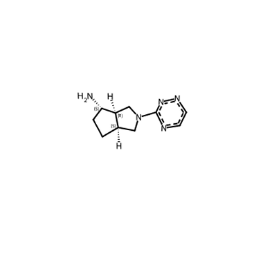 N[C@H]1CC[C@@H]2CN(c3nccnn3)C[C@@H]21